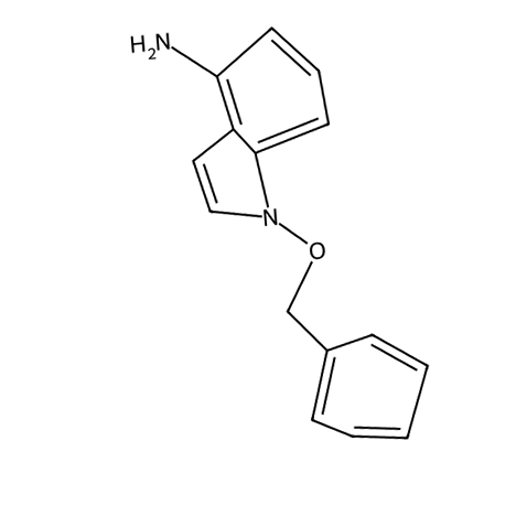 Nc1cccc2c1ccn2OCc1ccccc1